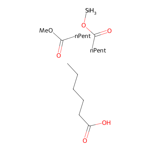 CCCCCC(=O)O.CCCCCC(=O)OC.CCCCCC(=O)O[SiH3]